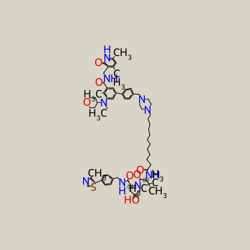 CCN(c1cc(-c2ccc(CN3CCN(CCCCCCCCCCCC(=O)N[C@H](C(=O)N4C[C@H](O)C[C@H]4C(=O)NCc4ccc(-c5scnc5C)cc4)C(C)(C)C)CC3)cc2)cc(C(=O)NCc2c(C)cc(C)[nH]c2=O)c1C)C1CCOCC1